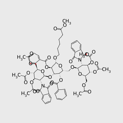 COC(=O)CCCCCO[C@@H]1O[C@H](CO[C@@H]2O[C@H](COC(C)=O)[C@@H](OC(C)=O)[C@H](OC(C)=O)[C@H]2N2C(=O)c3ccccc3C2=O)[C@H](OC(=O)c2ccccc2)[C@H](O[C@@H]2O[C@H](COC(C)=O)[C@@H](OC(C)=O)[C@H](OC(C)=O)[C@H]2N2C(=O)c3ccccc3C2=O)[C@H]1OC(=O)c1ccccc1